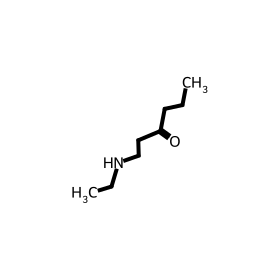 CCCC(=O)CCNCC